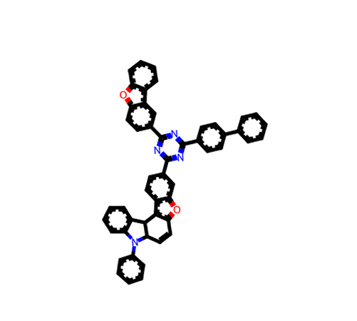 C1=CC2C(c3ccccc3N2c2ccccc2)c2c1oc1cc(-c3nc(-c4ccc(-c5ccccc5)cc4)nc(-c4ccc5oc6ccccc6c5c4)n3)ccc21